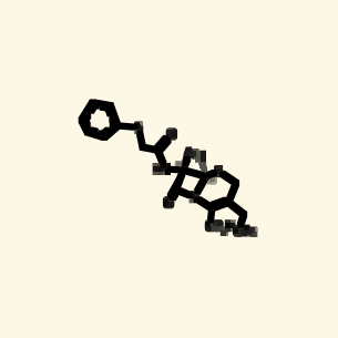 CC(=O)OCC1=C(C(=O)O)N2C(=O)[C@@](NC(=O)CSc3ccccc3)(C(C)=O)[C@H]2SC1